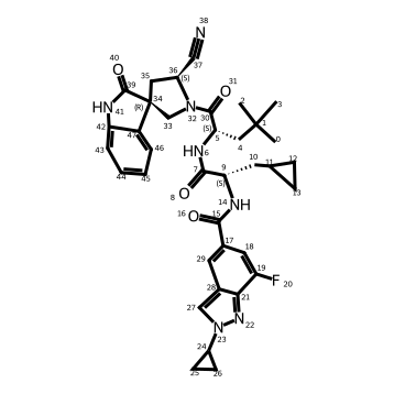 CC(C)(C)C[C@H](NC(=O)[C@H](CC1CC1)NC(=O)c1cc(F)c2nn(C3CC3)cc2c1)C(=O)N1C[C@]2(C[C@H]1C#N)C(=O)Nc1ccccc12